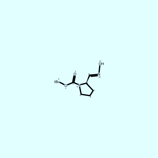 CC(C)(C)OC(=O)N1CCC[C@@H]1/C=N/O